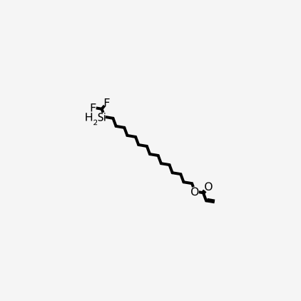 C=CC(=O)OCCCCCCCCCCCCCCC[SiH2]C(F)F